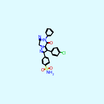 N#CCn1nc(-c2ccc(S(N)(=O)=O)cc2)c(-c2ccc(Cl)cc2)c1C(=O)Nc1ccccc1